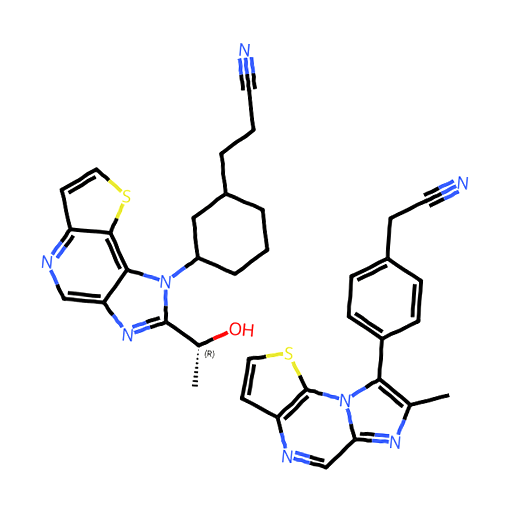 C[C@@H](O)c1nc2cnc3ccsc3c2n1C1CCCC(CCC#N)C1.Cc1nc2cnc3ccsc3n2c1-c1ccc(CC#N)cc1